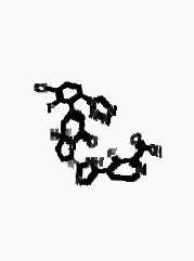 O=C(O)c1nccc(-c2cnc([C@@H]3CC[C@@H]4CC(c5c(-n6cnnn6)ccc(Cl)c5F)=CC(=O)N43)[nH]2)c1F